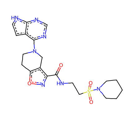 O=C(NCCS(=O)(=O)N1CCCCC1)c1noc2c1CN(c1ncnc3[nH]ccc13)CC2